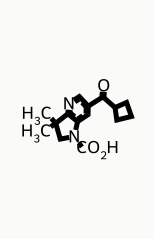 CC1(C)CN(C(=O)O)c2cc(C(=O)C3CCC3)cnc21